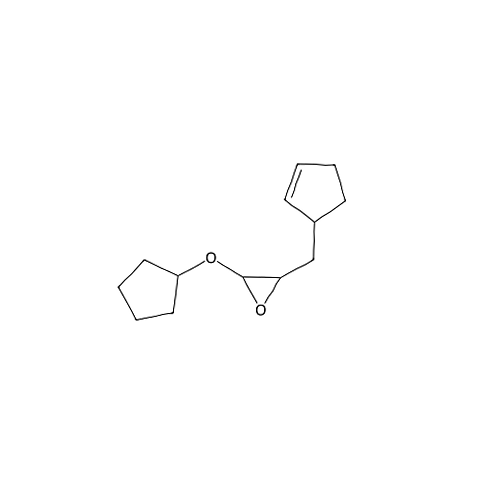 C1=CC(CC2OC2OC2CCCC2)CC1